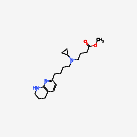 COC(=O)CCCN(CCCCc1ccc2c(n1)NCCC2)C1CC1